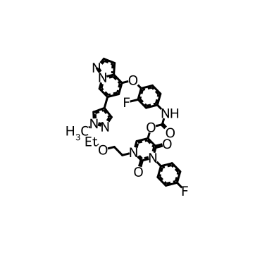 CCOCCn1cc(OC(=O)Nc2ccc(Oc3cc(-c4cnn(C)c4)cn4nccc34)c(F)c2)c(=O)n(-c2ccc(F)cc2)c1=O